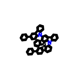 c1ccc(-c2cccc([Si]3(c4ccccc4)c4ccccc4-n4c5ccccc5c5cc(-n6c7ccccc7c7cc(-c8ccccc8)ccc76)cc3c54)c2)cc1